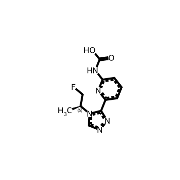 C[C@@H](CF)n1cnnc1-c1cccc(NC(=O)O)n1